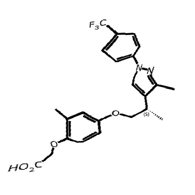 Cc1cc(OC[C@@H](C)c2cn(-c3ccc(C(F)(F)F)cc3)nc2C)ccc1OCC(=O)O